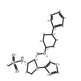 CS(=O)(=O)N[C@H]1CCN(c2cscn2)[C@H]1COC1CCC(c2ccccc2)CC1